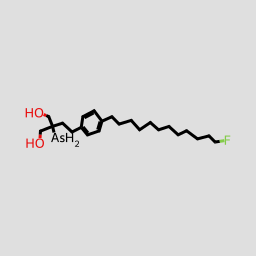 OCC([AsH2])(CO)CCc1ccc(CCCCCCCCCCCCF)cc1